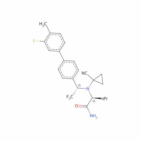 CCC[C@@H](C(N)=O)N([C@@H](c1ccc(-c2ccc(C)c(F)c2)cc1)C(F)(F)F)C1(C#N)CC1